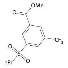 CCCS(=O)(=O)c1cc(C(=O)OC)cc(C(F)(F)F)c1